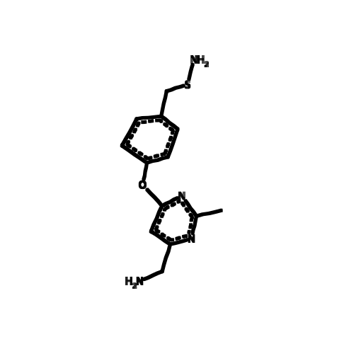 Cc1nc(CN)cc(Oc2ccc(CSN)cc2)n1